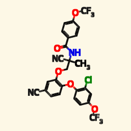 CC(C#N)(COc1cc(C#N)ccc1Oc1ccc(OC(F)(F)F)cc1Cl)NC(=O)c1ccc(OC(F)(F)F)cc1